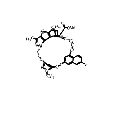 COC(=O)c1c(C)c2c3c(Cl)ccc2n1CCCOc1cc(cc2cc(F)ccc12)CCc1cc(nn1C)CCCn1nc(C)c(C)c1-3